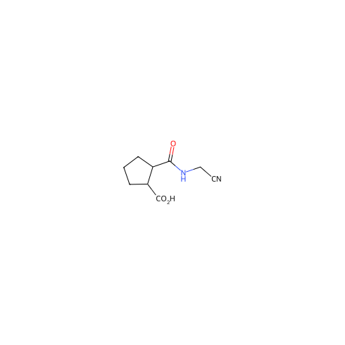 N#CCNC(=O)C1CCCC1C(=O)O